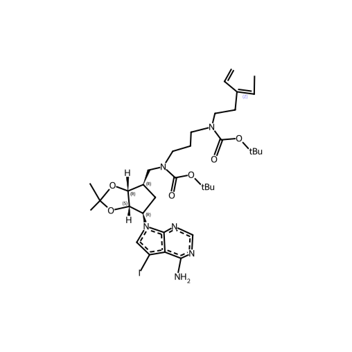 C=C/C(=C\C)CCN(CCCN(C[C@H]1C[C@@H](n2cc(I)c3c(N)ncnc32)[C@@H]2OC(C)(C)O[C@H]12)C(=O)OC(C)(C)C)C(=O)OC(C)(C)C